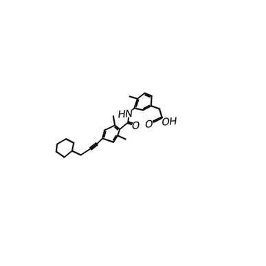 Cc1ccc(CC(=O)O)cc1NC(=O)c1c(C)cc(C#CCC2CCCCC2)cc1C